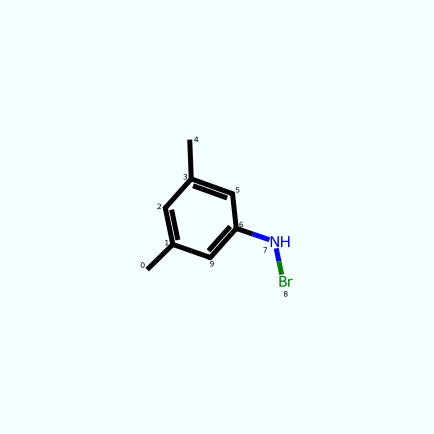 Cc1cc(C)cc(NBr)c1